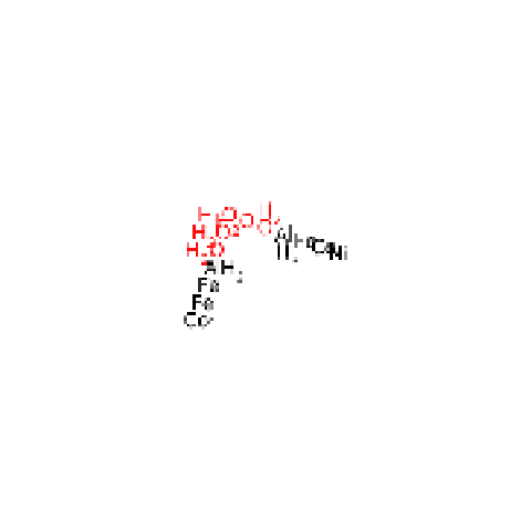 O.O.O.O.O.[AlH3].[AlH3].[Co].[Co].[Fe].[Fe].[Fe].[Ni]